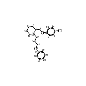 Clc1ccc(OCC2CCCCN2CCCOc2ccccc2)cc1